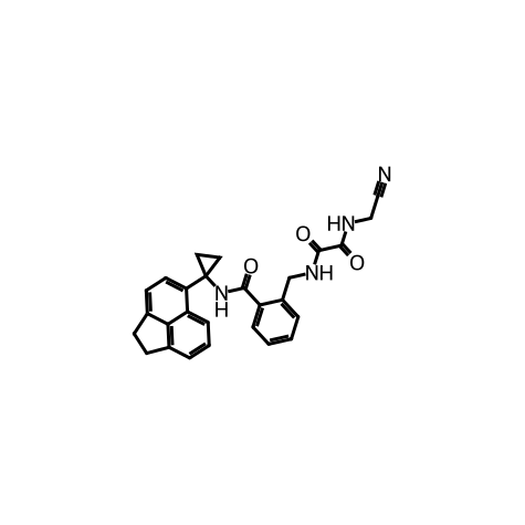 N#CCNC(=O)C(=O)NCc1ccccc1C(=O)NC1(c2ccc3c4c(cccc24)CC3)CC1